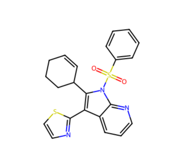 O=S(=O)(c1ccccc1)n1c(C2C=CCCC2)c(-c2nccs2)c2cccnc21